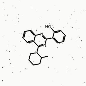 CC1CCCCN1c1nc(-c2ccccc2O)nc2ccccc12